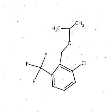 CC(C)OCc1c(Cl)cccc1C(F)(F)F